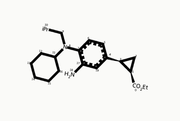 CCOC(=O)[C@@H]1C[C@@H]1c1ccc(N(CC(C)C)C2CCCCC2)c(N)c1